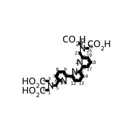 O=C(O)CN(CC(=O)O)Cc1cccc(-c2cccc(-c3cccc(CN(CC(=O)O)CC(=O)O)n3)n2)n1